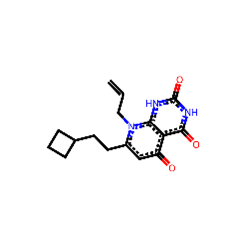 C=CCn1c(CCC2CCC2)cc(=O)c2c(=O)[nH]c(=O)[nH]c21